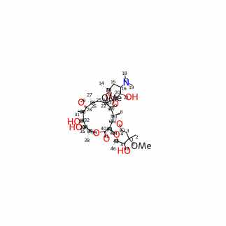 COC1(C)C[C@@H](O[C@H]2[C@H](C)[C@@H](O[C@@H]3O[C@H](C)CC(N(C)C)C3O)[C@](C)(OC)C[C@@H](C)C(=O)[C@H](C)[C@@H](O)[C@](C)(O)[C@@H](C)OC(=O)[C@@H]2C)O[C@@H](C)C1O